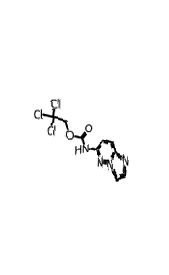 O=C(Nc1ccc2nccn2n1)OCC(Cl)(Cl)Cl